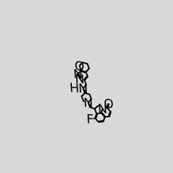 O=c1ccc2ccc(F)c3c2n1CC3CN1CCC(NCc2cc3c(nn2)OCCC3)CC1